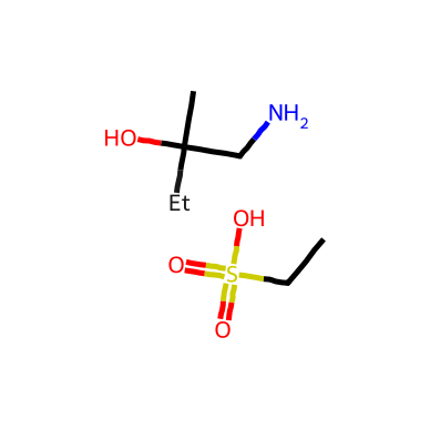 CCC(C)(O)CN.CCS(=O)(=O)O